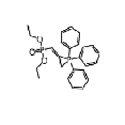 CCOP(=O)(C=C1CP1(c1ccccc1)(c1ccccc1)c1ccccc1)OCC